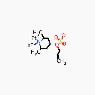 C=CCOS(=O)(=O)[O-].CCC[N+]1(CC)C(C)CCCC1C